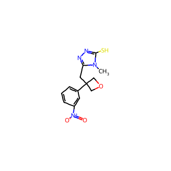 Cn1c(S)nnc1CC1(c2cccc([N+](=O)[O-])c2)COC1